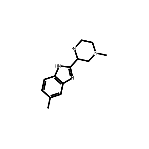 Cc1ccc2[nH]c(C3CN(C)CC[N]3)nc2c1